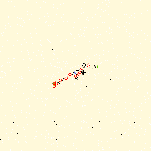 CC(C)(C)OC(=O)N(CCOCCOCCOCCOS(C)(=O)=O)CC(COc1cccc(OCc2ccc(F)cc2)c1)O[Si](C)(C)C(C)(C)C